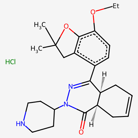 CCOc1ccc(C2=NN(C3CCNCC3)C(=O)[C@@H]3CC=CC[C@H]23)c2c1OC(C)(C)C2.Cl